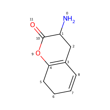 NC1CC2=C(CCC=C2)OC1=O